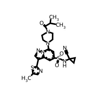 Cc1cnc(-c2cnn3c(N4CCN(C(=O)C(C)C)CC4)cc(S(=O)(=O)NC4(C#N)CC4)cc23)s1